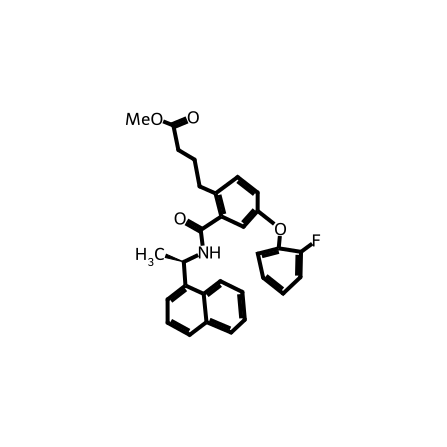 COC(=O)CCCc1ccc(Oc2ccccc2F)cc1C(=O)N[C@H](C)c1cccc2ccccc12